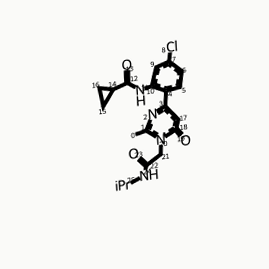 Cc1nc(-c2ccc(Cl)cc2NC(=O)C2CC2)cc(=O)n1CC(=O)NC(C)C